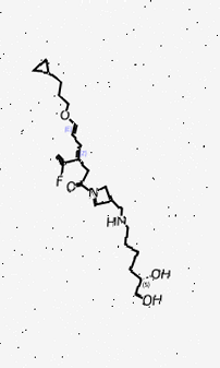 C=C(F)/C(=C\C=C\OCCCC1CC1)CC(=O)N1CC(CNCCCC[C@H](O)CO)C1